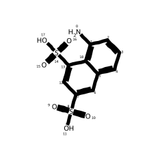 Nc1[c]ccc2cc(S(=O)(=O)O)cc(S(=O)(=O)O)c12